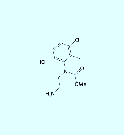 COC(=O)N(CCN)c1cccc(Cl)c1C.Cl